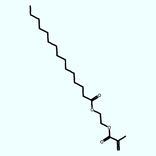 C=C(C)C(=O)OCCOC(=O)CCCCCCCCCCCCCC